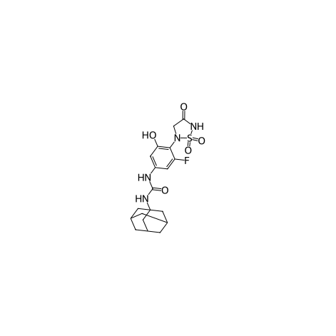 O=C1CN(c2c(O)cc(NC(=O)NC34CC5CC(CC(C5)C3)C4)cc2F)S(=O)(=O)N1